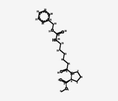 COC(=O)[C@@H]1CCCN1C(=O)CCCCCNC(=O)OCc1ccccc1